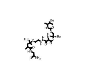 BC(C)(CC(C)C(=O)NCC(N)=O)OCCNNC(=O)C(N)[C@H](C)S[C@](C)(CCCC)COC(=O)NC(C)C(C)C(C)CC